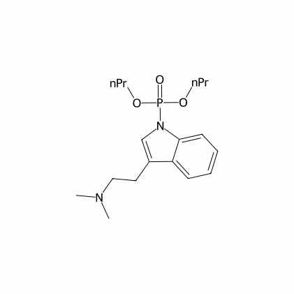 CCCOP(=O)(OCCC)n1cc(CCN(C)C)c2ccccc21